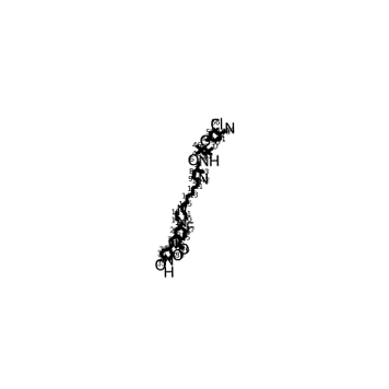 CC1(C)C(NC(=O)c2ccc(CCCCCCN3CCN(c4cc5c(cc4F)C(=O)N(C4CCC(=O)NC4=O)C5)CC3)nc2)C(C)(C)C1Oc1ccc(C#N)c(Cl)c1